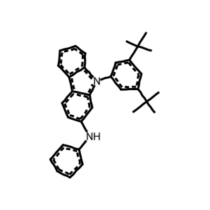 CC(C)(C)c1cc(-n2c3ccccc3c3ccc(Nc4ccccc4)cc32)cc(C(C)(C)C)c1